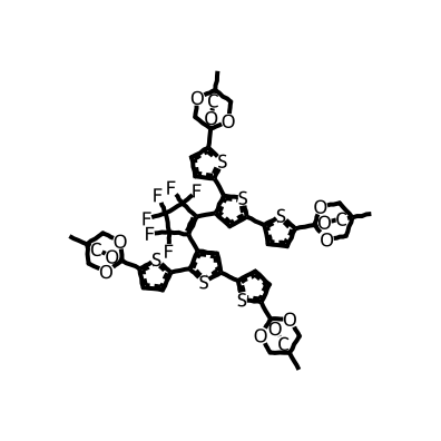 CC12COC(c3ccc(-c4cc(C5=C(c6cc(-c7ccc(C89OCC(C)(CO8)CO9)s7)sc6-c6ccc(C78OCC(C)(CO7)CO8)s6)C(F)(F)C(F)(F)C5(F)F)c(-c5ccc(C67COC(C)(CO6)CO7)s5)s4)s3)(OC1)OC2